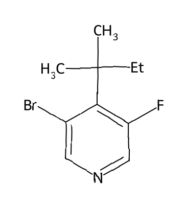 CCC(C)(C)c1c(F)cncc1Br